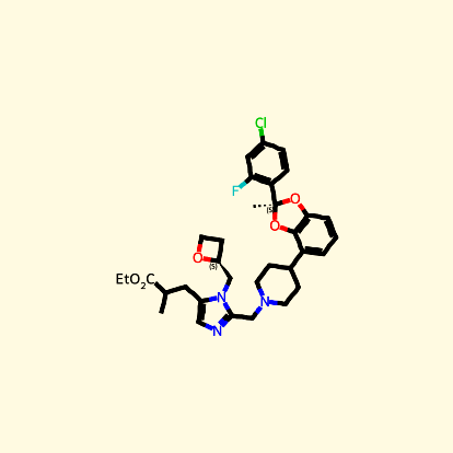 CCOC(=O)C(C)Cc1cnc(CN2CCC(c3cccc4c3O[C@@](C)(c3ccc(Cl)cc3F)O4)CC2)n1C[C@@H]1CCO1